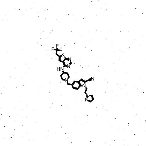 N#Cc1cc2cc(CN3CCC(Nc4ncnc5sc(CC(F)(F)F)cc45)CC3)ccc2n1CCn1cccn1